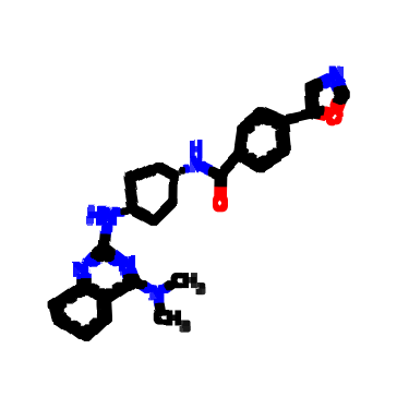 CN(C)c1nc(N[C@H]2CC[C@@H](NC(=O)c3ccc(-c4cnco4)cc3)CC2)nc2ccccc12